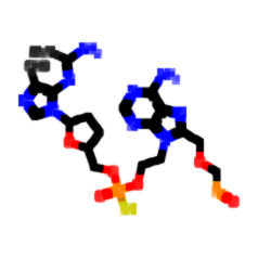 CN/C(N)=N\c1c(C=O)ncn1C1CCC(COP(=O)(S)OCCn2c(COCP=O)nc3c(N)ncnc32)O1